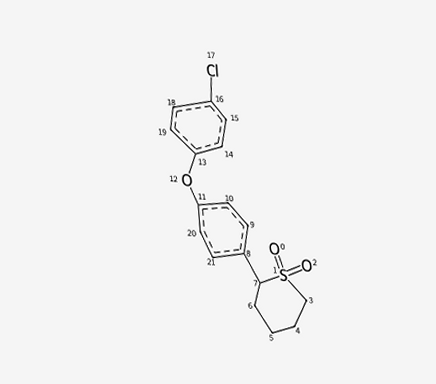 O=S1(=O)CCCCC1c1ccc(Oc2ccc(Cl)cc2)cc1